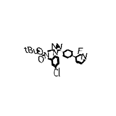 CC(C)(C)OC(=O)N1Cc2cc(Cl)ccc2-n2c(nnc2[C@H]2CC[C@H](C3C=CC=NC3F)CC2)C1